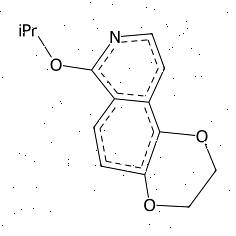 CC(C)Oc1nccc2c3c(ccc12)OCCO3